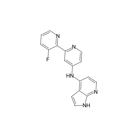 Fc1cccnc1-c1cc(Nc2ccnc3[nH]ccc23)ccn1